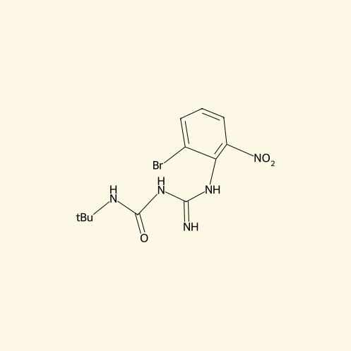 CC(C)(C)NC(=O)NC(=N)Nc1c(Br)cccc1[N+](=O)[O-]